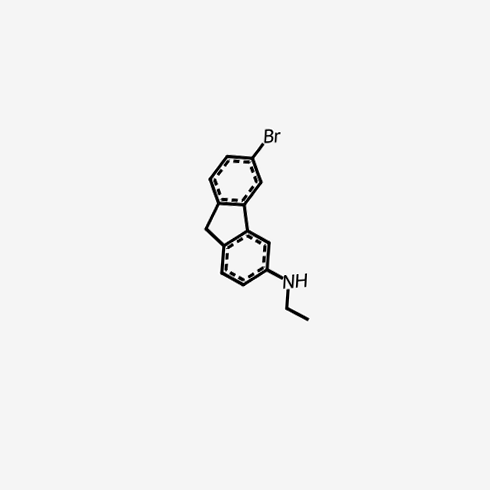 CCNc1ccc2c(c1)-c1cc(Br)ccc1C2